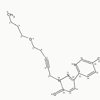 CCCCOCCC#CCn1nc(-c2ccc(Cl)cn2)ccc1=O